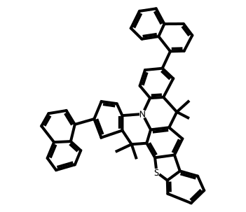 CC1(C)c2cc(-c3cccc4ccccc34)ccc2N2c3ccc(-c4cccc5ccccc45)cc3C(C)(C)c3c2c1cc1c3sc2ccccc21